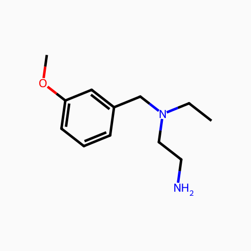 CCN(CCN)Cc1cccc(OC)c1